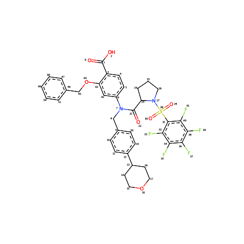 O=C(O)c1ccc(N(Cc2ccc(C3CCOCC3)cc2)C(=O)C2CCCN2S(=O)(=O)c2c(F)c(F)c(F)c(F)c2F)cc1OCc1ccccc1